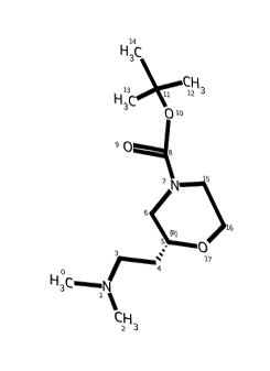 CN(C)CC[C@@H]1CN(C(=O)OC(C)(C)C)CCO1